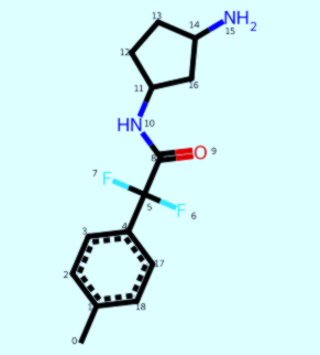 Cc1ccc(C(F)(F)C(=O)NC2CCC(N)C2)cc1